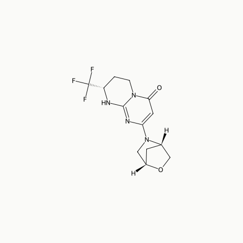 O=c1cc(N2C[C@@H]3C[C@H]2CO3)nc2n1CC[C@@H](C(F)(F)F)N2